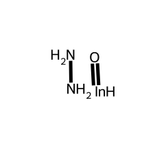 NN.[O]=[InH]